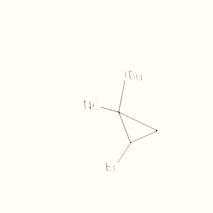 CCC1CC1(C#N)C(C)(C)C